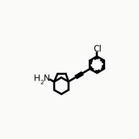 NC12CCCC(C#Cc3cccc(Cl)c3)(CC1)C2